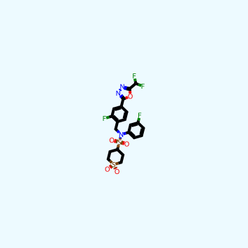 O=S1(=O)CCC(S(=O)(=O)N(Cc2ccc(-c3nnc(C(F)F)o3)cc2F)c2cccc(F)c2)CC1